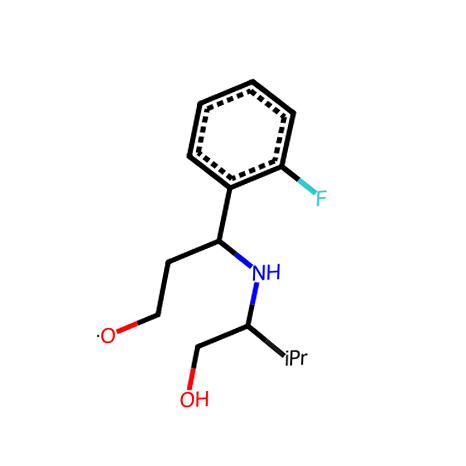 CC(C)C(CO)NC(CC[O])c1ccccc1F